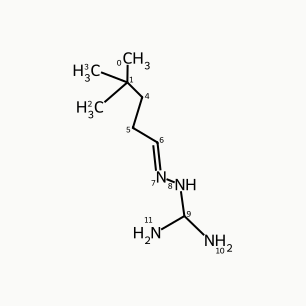 CC(C)(C)CC/C=N/NC(N)N